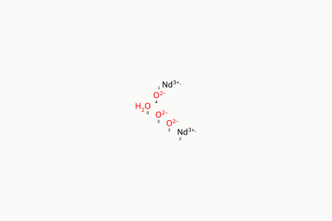 O.[Nd+3].[Nd+3].[O-2].[O-2].[O-2]